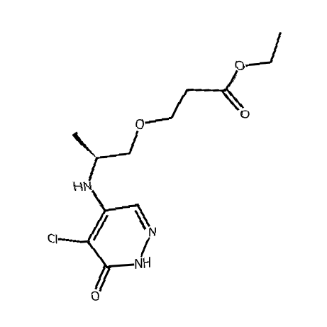 CCOC(=O)CCOC[C@H](C)Nc1cn[nH]c(=O)c1Cl